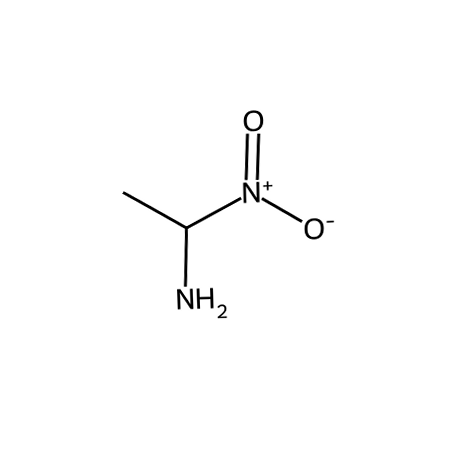 CC(N)[N+](=O)[O-]